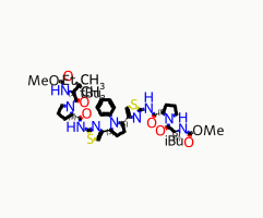 CC[C@H](C)[C@H](NC(=O)OC)C(=O)N1CCC[C@H]1C(=O)Nc1nc([C@@H]2CC[C@@H](c3csc(NC(=O)[C@@H]4CCCN4C(=O)[C@@H](NC(=O)OC)C(C)(C)CC)n3)N2c2ccc(C(C)(C)C)cc2)cs1